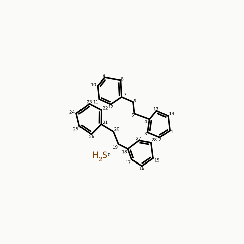 S.c1ccc(CCc2ccccc2)cc1.c1ccc(CCc2ccccc2)cc1